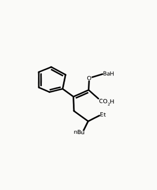 CCCCC(CC)CC(=C([O][BaH])C(=O)O)c1ccccc1